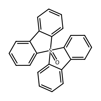 O=S12(c3ccccc3-c3ccccc31)c1ccccc1-c1ccccc12